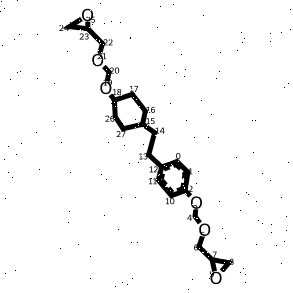 c1cc(OCOCC2CO2)ccc1CCC1CCC(OCOCC2CO2)CC1